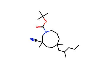 CCCC(C)CC1(C)CCCN(C(=O)OC(C)(C)C)CC(C)(C#N)CC1